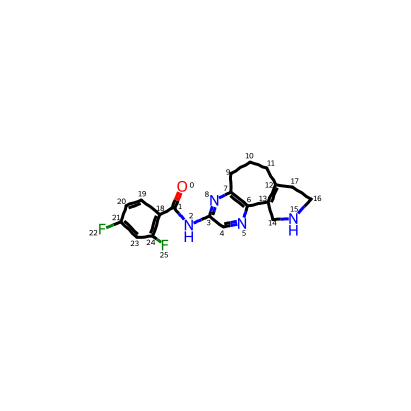 O=C(Nc1cnc2c(n1)CCCC1=C2CNCC1)c1ccc(F)cc1F